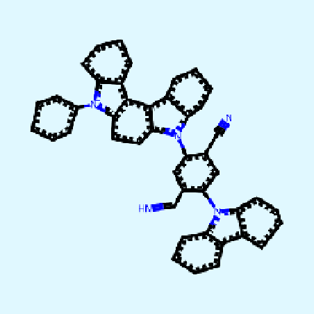 N#Cc1cc(-n2c3ccccc3c3ccccc32)c(C=N)cc1-n1c2ccccc2c2c3c4ccccc4n(-c4ccccc4)c3ccc21